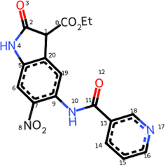 CCOC(=O)C1C(=O)Nc2cc([N+](=O)[O-])c(NC(=O)c3cccnc3)cc21